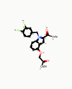 COC(=O)COc1cccc2c1cc(C(=O)OC)n2Cc1ccc(F)c(F)c1